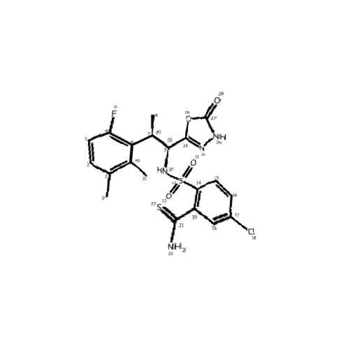 Cc1ccc(F)c([C@@H](C)[C@H](NS(=O)(=O)c2ccc(Cl)cc2C(N)=S)c2n[nH]c(=O)o2)c1C